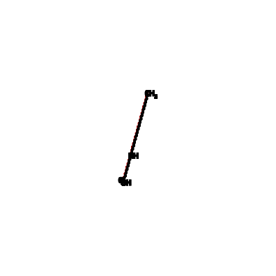 CCCCCCCCCCCCCCCCCCCCCCCCCCCCCCCCCCCCCNCCCCCCCCCCCCCCC(=O)O